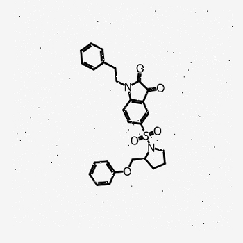 O=C1C(=O)N(CCc2ccccc2)c2ccc(S(=O)(=O)N3CCC[C@H]3COc3ccccc3)cc21